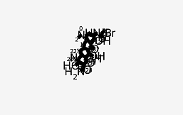 CN(C)c1cc(NC(=O)CBr)c(O)c2c1CC1CC3C(N(C)C)C(O)=C(C(N)=O)C(=O)C3(O)C(O)=C1C2=O